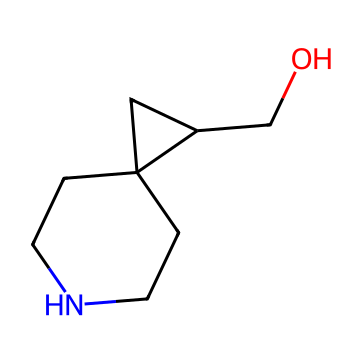 OCC1CC12CCNCC2